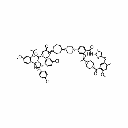 COc1ccc(C2=N[C@@H](c3ccc(Cl)cc3)[C@@H](c3ccc(Cl)cc3)N2C(=O)N2CCN([C@H]3CCCC(N4CCN(c5ccc(C(=O)Nc6ncc(Sc7cc(C(=O)N8CCN(C(C)=O)CC8)c(OC)cc7C)s6)cc5)CC4)CC3)C(=O)C2)c(OC(C)C)c1